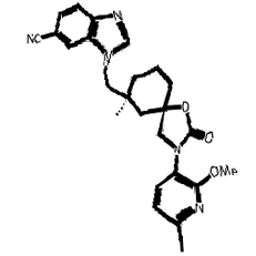 COc1nc(C)ccc1N1C[C@@]2(CCC[C@](C)(Cn3cnc4ccc(C#N)cc43)C2)OC1=O